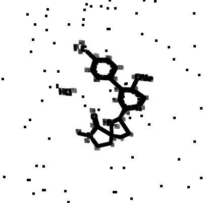 COc1cnc([C@H]2CC[C@]3(CCN(C)C3=O)N2)cc1-c1ccc(C(F)(F)F)cc1.Cl